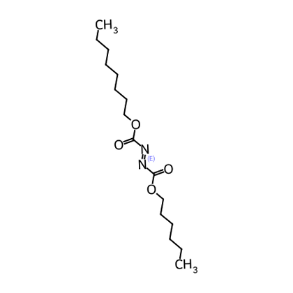 CCCCCCCCOC(=O)/N=N/C(=O)OCCCCCC